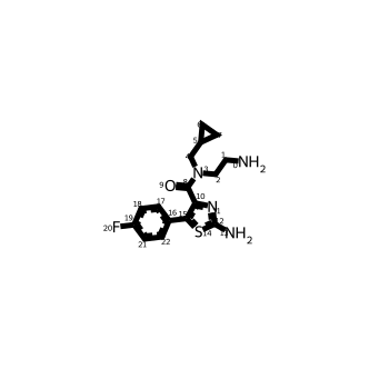 NCCN(CC1CC1)C(=O)c1nc(N)sc1-c1ccc(F)cc1